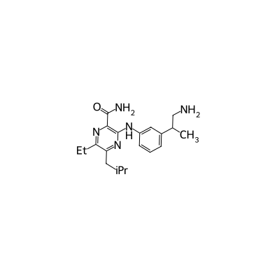 CCc1nc(C(N)=O)c(Nc2cccc(C(C)CN)c2)nc1CC(C)C